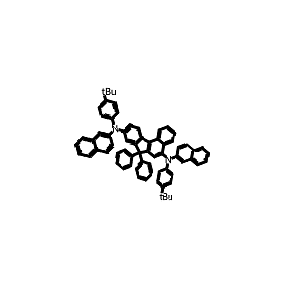 CC(C)(C)c1ccc(N(c2ccc3c(c2)C(c2ccccc2)(c2ccccc2)c2cc(N(c4ccc(C(C)(C)C)cc4)c4ccc5ccccc5c4)c4ccccc4c2-3)c2ccc3ccccc3c2)cc1